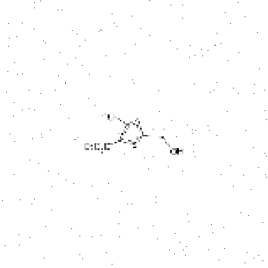 CCOC(=O)c1sc(CO)cc1Cl